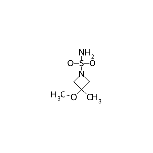 COC1(C)CN(S(N)(=O)=O)C1